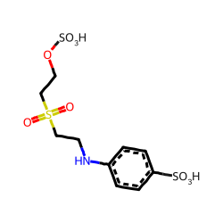 O=S(=O)(CCNc1ccc(S(=O)(=O)O)cc1)CCOS(=O)(=O)O